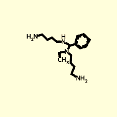 CCN(CCCCN)C(NCCCCN)c1ccccc1